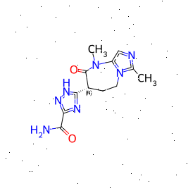 Cc1ncc2n1CC[C@H](c1nc(C(N)=O)n[nH]1)C(=O)N2C